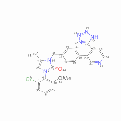 CCCc1cn(-c2c(Br)cccc2OC)c(=O)n1Cc1ccc(-c2cnccc2-c2nnn[nH]2)cc1